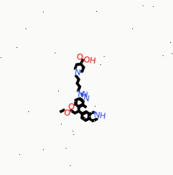 CCOC(=O)CC(c1ccc2c(c1)CNCC2)c1ccc2c(nnn2CCCCCN2CCC(C(=O)O)CC2)c1C